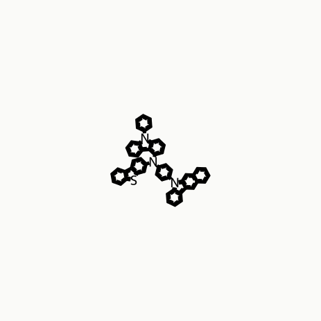 c1ccc(-n2c3ccccc3c3c(N(c4ccc(-n5c6ccccc6c6cc7ccccc7cc65)cc4)c4ccc5c(c4)sc4ccccc45)cccc32)cc1